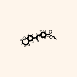 CCOC(=O)c1ccc(C=C(C)c2ccc3c(c2)CCCCO3)cc1